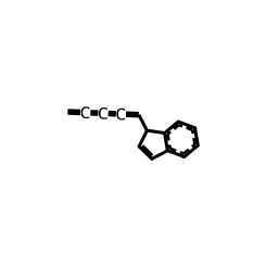 C=C=C=C=CC1C=Cc2ccccc21